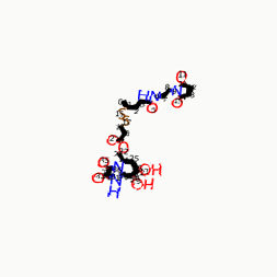 CC(CCC(=O)NCCN1C(=O)C=CC1=O)SSCCC(=O)OCC1CC(O)C(O)C2NC(=O)C(=O)N12